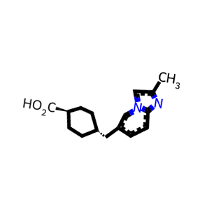 Cc1cn2cc(C[C@H]3CC[C@H](C(=O)O)CC3)ccc2n1